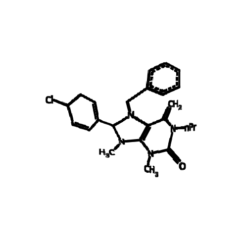 C=C1C2=C(N(C)C(=O)N1CCC)N(C)C(C1=CCC(Cl)C=C1)N2Cc1ccccc1